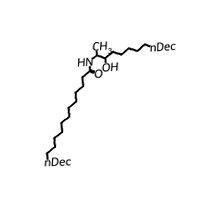 CCCCCCCCCCCCCCCCCCCCCC(=O)NC(C)C(O)CCCCCCCCCCCCCCC